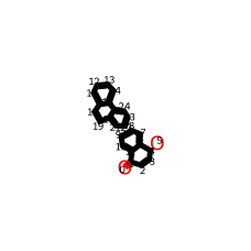 O=C1C=CC(=O)c2ccccc21.c1ccc2c(c1)ccc1ccccc12